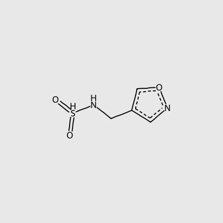 O=[SH](=O)NCc1cnoc1